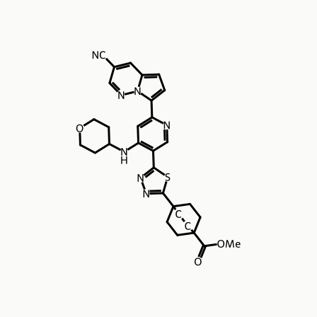 COC(=O)C12CCC(c3nnc(-c4cnc(-c5ccc6cc(C#N)cnn56)cc4NC4CCOCC4)s3)(CC1)CC2